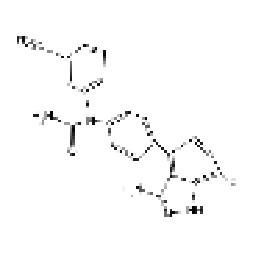 N#Cc1cccc(N(C(N)=O)c2ccc(-c3ccc(F)c4[nH]nc(N)c34)cc2)c1